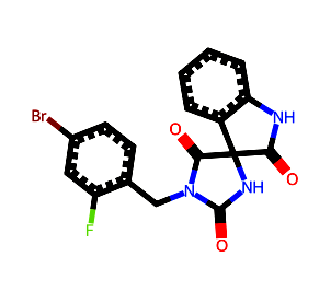 O=C1NC2(C(=O)Nc3ccccc32)C(=O)N1Cc1ccc(Br)cc1F